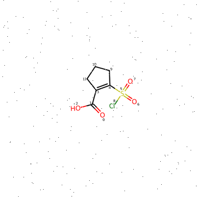 O=C(O)C1=C(S(=O)(=O)Cl)CCC1